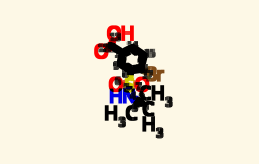 CC(C)(C)NS(=O)(=O)c1cc(C(=O)O)ccc1Br